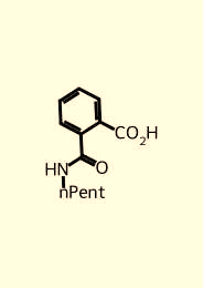 CCCCCNC(=O)c1ccccc1C(=O)O